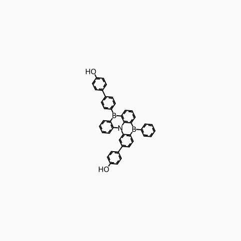 Oc1ccc(-c2ccc(B3c4ccccc4N4c5cc(-c6ccc(O)cc6)ccc5B(c5ccccc5)c5cccc3c54)cc2)cc1